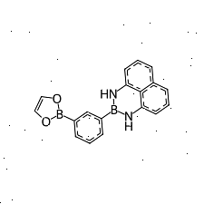 C1=COB(c2cccc(B3Nc4cccc5cccc(c45)N3)c2)O1